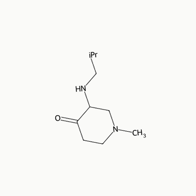 CC(C)CNC1CN(C)CCC1=O